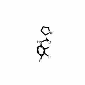 O=C(Nc1ccc(F)c(Cl)c1F)[C@@H]1CCCN1